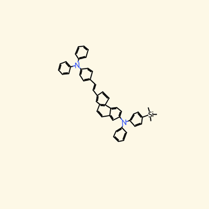 C[Si](C)(C)c1ccc(N(c2ccccc2)c2ccc3c(ccc4cc(/C=C/c5ccc(N(c6ccccc6)c6ccccc6)cc5)ccc43)c2)cc1